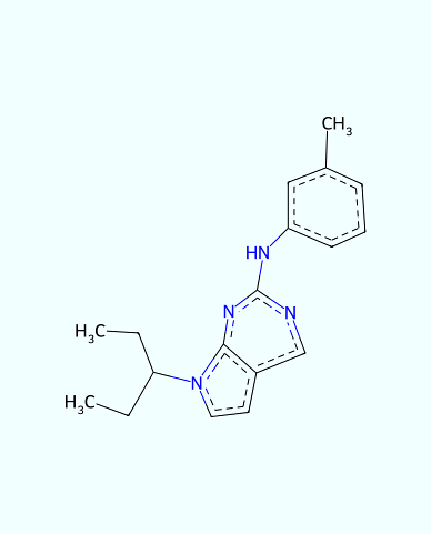 CCC(CC)n1ccc2cnc(Nc3cccc(C)c3)nc21